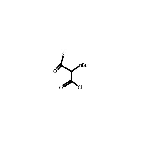 CCCCC(C(=O)Cl)C(=O)Cl